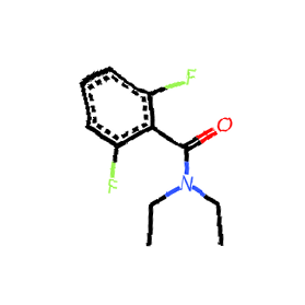 CCN(CC)C(=O)c1c(F)cccc1F